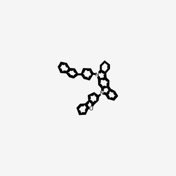 C1=Cc2c(n(-c3ccc(-c4ccc5ccccc5c4)cc3)c3cc4c(cc23)c2ccccc2n4-c2ccc3c(c2)oc2ccccc23)CC1